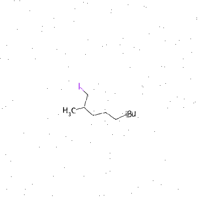 CCC(C)CCCC(C)CI